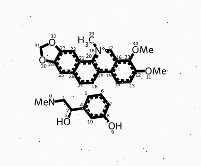 CNC[C@H](O)c1cccc(O)c1.COc1ccc2c(c[n+](C)c3c4cc5c(cc4ccc23)OCO5)c1OC